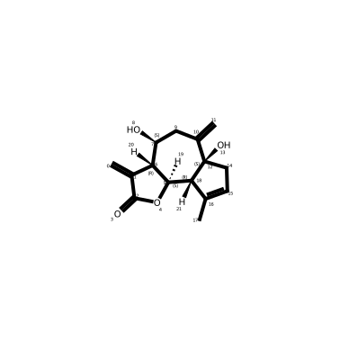 C=C1C(=O)O[C@H]2[C@H]1[C@@H](O)CC(=C)[C@]1(O)CC=C(C)[C@H]21